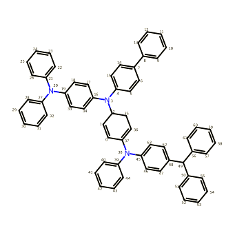 C1=CC(N(c2ccc(-c3ccccc3)cc2)c2ccc(N(c3ccccc3)c3ccccc3)cc2)CC=C1N(c1ccccc1)c1ccc(C(c2ccccc2)c2ccccc2)cc1